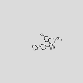 CN1Cc2cc(Cl)ccc2-n2c(nnc2C2CCN(c3ccccc3)CC2)C1